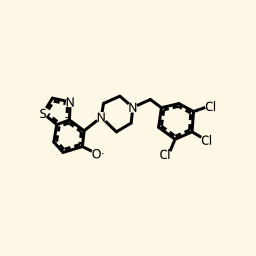 [O]c1ccc2scnc2c1N1CCN(Cc2cc(Cl)c(Cl)c(Cl)c2)CC1